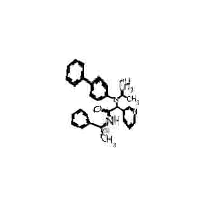 C=C(C)N(c1ccc(-c2ccccc2)cc1)C(C(=O)N[C@@H](C)c1ccccc1)c1cccnc1